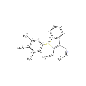 C=CC1=C(/C=C\C)c2ccccc2[SH]1c1cc(C)c(OC)c(C)c1